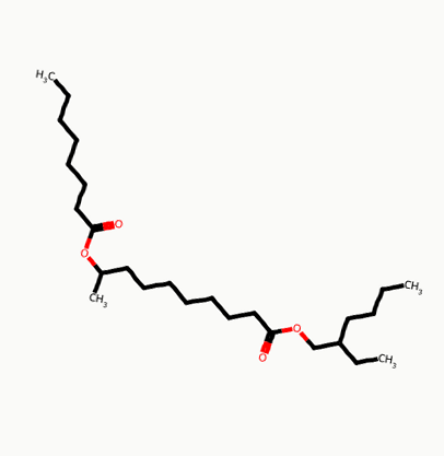 CCCCCCCC(=O)OC(C)CCCCCCCC(=O)OCC(CC)CCCC